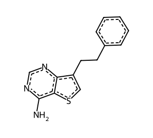 Nc1ncnc2c(CCc3ccccc3)csc12